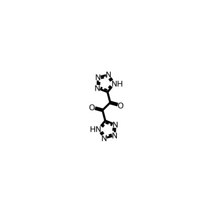 O=C(C(=O)c1nnn[nH]1)c1nnn[nH]1